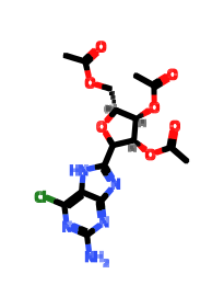 CC(=O)OC[C@H]1OC(c2nc3nc(N)nc(Cl)c3[nH]2)[C@H](OC(C)=O)[C@@H]1OC(C)=O